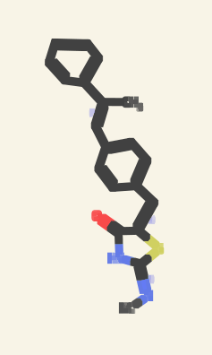 C/C(=C\c1ccc(/C=C2/S/C(=N/C#N)NC2=O)cc1)c1ccccc1